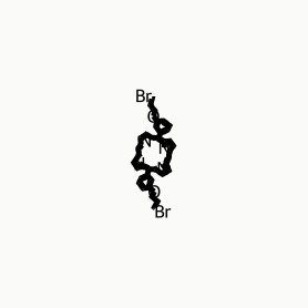 BrCCCOc1cccc(C2=C3C=CC(=N3)C=C3C=CC(=N3)C(c3cccc(OCCCBr)c3)=C3C=CC(=N3)C=C3C=CC2=N3)c1